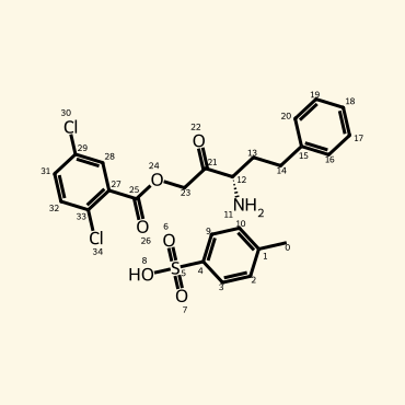 Cc1ccc(S(=O)(=O)O)cc1.N[C@@H](CCc1ccccc1)C(=O)COC(=O)c1cc(Cl)ccc1Cl